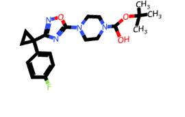 CC(C)(C)OC(O)N1CCN(c2nc(C3(c4ccc(F)cc4)CC3)no2)CC1